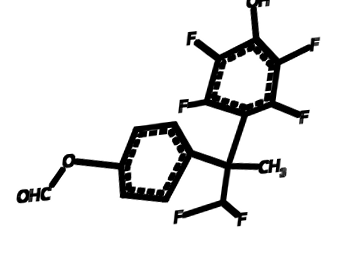 CC(c1ccc(OC=O)cc1)(c1c(F)c(F)c(O)c(F)c1F)C(F)F